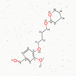 COc1cc(C=O)ccc1OCCCCOC1CCCCO1